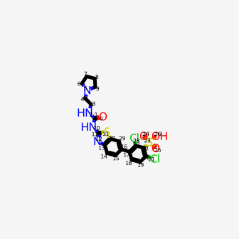 O=C(NCCN1CCCC1)Nc1nc2ccc(-c3ccc(Cl)c(S(=O)(=O)O)c3Cl)cc2s1